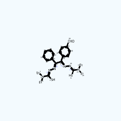 CCN(CC)/C(S)=N/N=C(/C(=N/N=C(\S)N(CC)CC)c1ccc(C=O)cc1)c1ccccc1